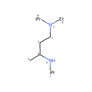 CCN(CCC(C)NC(C)C)C(C)C